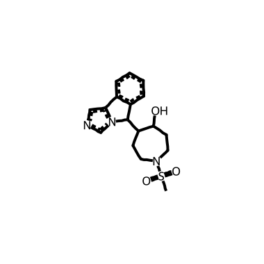 CS(=O)(=O)N1CCC(O)C(C2c3ccccc3-c3cncn32)CC1